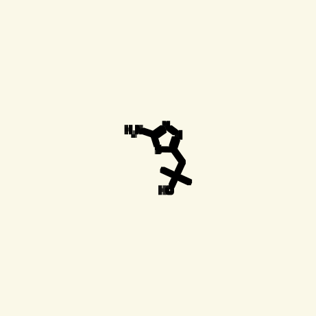 CC(C)(O)Cc1nnc(N)s1